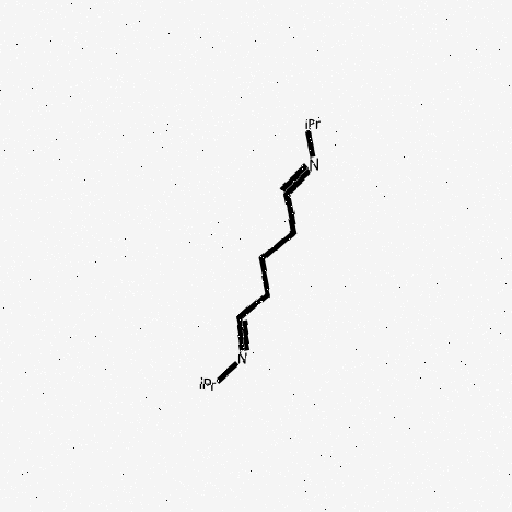 CC(C)N=CCCCC=NC(C)C